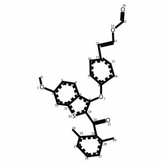 COc1ccc2c(Oc3ccc(/C=C/OC=O)cc3)c(C(=O)c3c(C)cccc3C)sc2c1